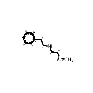 COCCNCCc1ccccc1